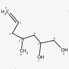 C=CCN(C)CC(O)CO